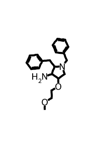 COCCOC1CN(Cc2ccccc2)C(Cc2ccccc2)C1N